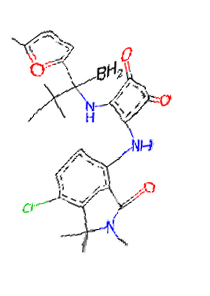 BC(Nc1c(Nc2ccc(Cl)c3c2C(=O)N(C)C3(C)C)c(=O)c1=O)(c1ccc(C)o1)C(C)(C)C